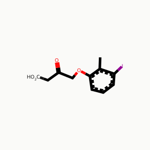 Cc1c(I)cccc1OCC(=O)CC(=O)O